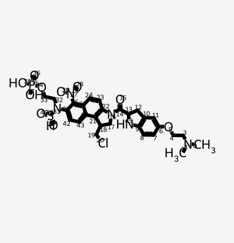 CN(C)CCOc1ccc2c(c1)CC(C(=O)N1CC(CCl)c3c1ccc1c([N+](=O)[O-])c(N(CCOP(=O)(O)O)[SH](=O)=O)ccc31)N2